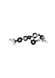 CC(C)c1ccccc1[C@@H]1CN(Cc2cnn(C)c2)CCN1C1CC2(CCN(c3ccc(C(N)=O)cc3)CC2)C1